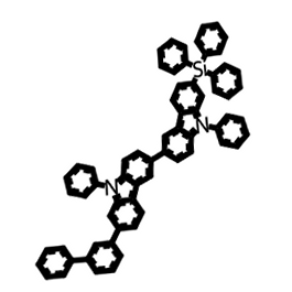 c1ccc(-c2cccc(-c3ccc4c5cc(-c6ccc7c(c6)c6ccc([Si](c8ccccc8)(c8ccccc8)c8ccccc8)cc6n7-c6ccccc6)ccc5n(-c5ccccc5)c4c3)c2)cc1